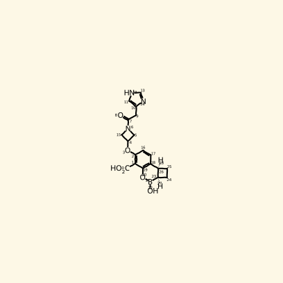 O=C(O)c1c(OC2CN(C(=O)Cc3c[nH]cn3)C2)ccc2c1OB(O)[C@@H]1CC[C@H]21